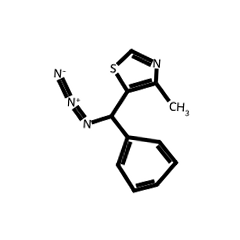 Cc1ncsc1C(N=[N+]=[N-])c1ccccc1